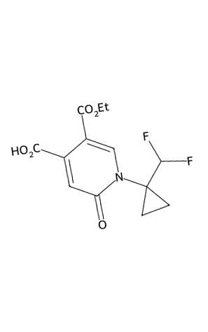 CCOC(=O)c1cn(C2(C(F)F)CC2)c(=O)cc1C(=O)O